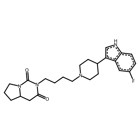 O=C1CC2CCCN2C(=O)N1CCCCN1CCC(c2c[nH]c3ccc(F)cc23)CC1